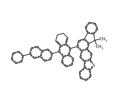 CC1(C)c2ccccc2-c2cc(-c3c4c(c(-c5ccc6cc(-c7ccccc7)ccc6c5)c5ccccc35)=CCCC=4)c3cc4c(cc3c21)sc1ccccc14